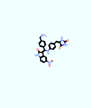 NCc1ccc(C(Nc2ccc(C=C3NC(=O)NC3=O)cc2)=C2C(=O)Nc3ccc([N+](=O)[O-])cc32)cc1